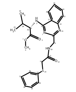 COC(=O)[C@@H](Nc1nc(CNC(=O)CSc2ccccc2)nc2ccccc12)C(C)C